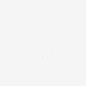 CC(=O)OC(C)OC(=O)c1cccc2c1OB(O)[C@@H](NC(=O)CCCC(F)(F)F)C2